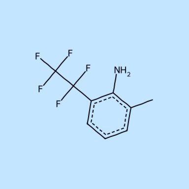 Cc1cccc(C(F)(F)C(F)(F)F)c1N